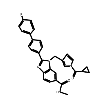 CNC(=O)c1ccc2nc(-c3ccc(-c4ccc(F)cc4)cc3)n(Cc3ccn(C(=O)C4CC4)c3)c2c1